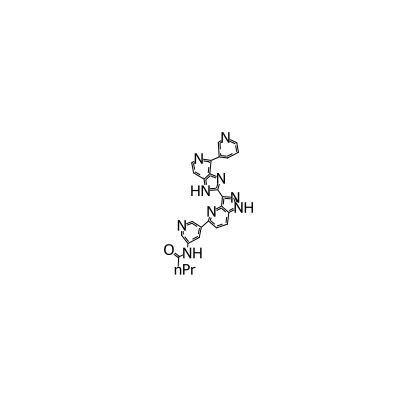 CCCC(=O)Nc1cncc(-c2ccc3[nH]nc(-c4nc5c(-c6cccnc6)nccc5[nH]4)c3n2)c1